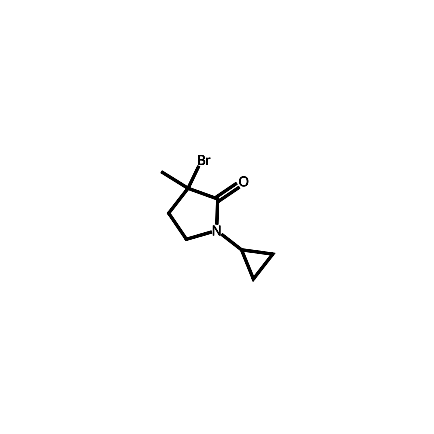 CC1(Br)CCN(C2CC2)C1=O